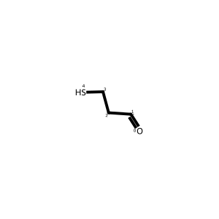 O=[C]CCS